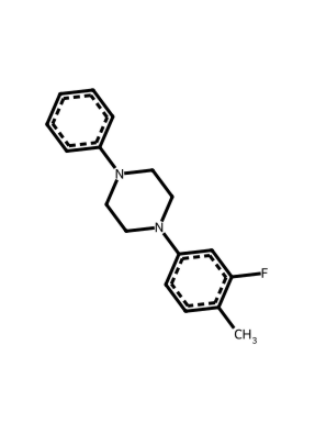 Cc1ccc(N2CCN(c3ccccc3)CC2)cc1F